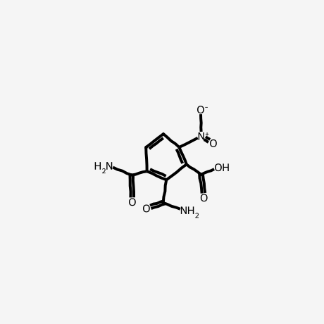 NC(=O)c1ccc([N+](=O)[O-])c(C(=O)O)c1C(N)=O